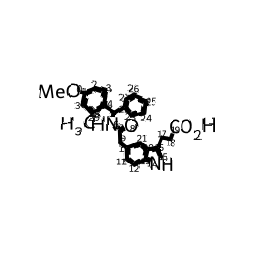 COc1ccc(C(NC(=O)Cc2ccc3[nH]cc(CCC(=O)O)c3c2)c2ccccc2)c(C)c1